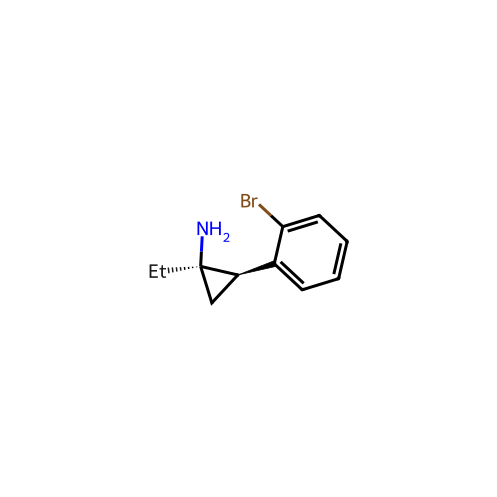 CC[C@@]1(N)C[C@@H]1c1ccccc1Br